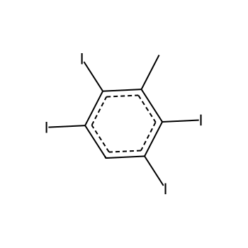 Cc1c(I)c(I)cc(I)c1I